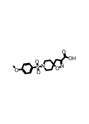 COc1ccc(S(=O)(=O)N2CCC3(CC2)CC(C(=O)O)=NO3)cc1